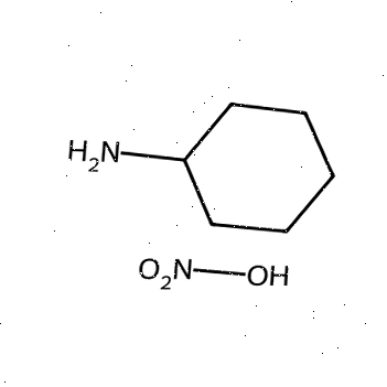 NC1CCCCC1.O=[N+]([O-])O